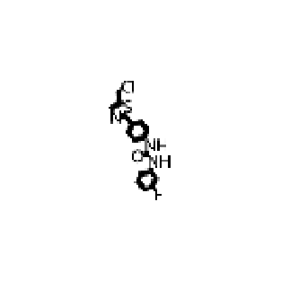 O=C(Nc1ccc(-c2ncc(CCl)s2)cc1)Nc1cccc(F)c1